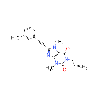 C=CCn1c(=O)c2c(nc(C#Cc3cccc(C)c3)n2C)n(C)c1=O